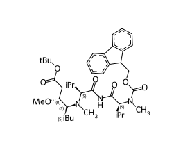 CC[C@H](C)[C@@H]([C@@H](CC(=O)OC(C)(C)C)OC)N(C)[C@H](C(=O)NC(=O)[C@H](C(C)C)N(C)C(=O)OCC1c2ccccc2-c2ccccc21)C(C)C